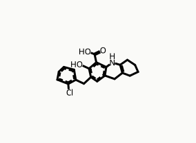 O=C(O)c1c(O)c(Cc2ccccc2Cl)cc2c1NC1=C(CCCC1)C2